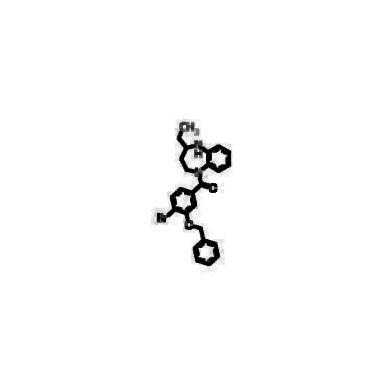 CCC1CCN(C(=O)c2ccc(Br)c(OCc3ccccc3)c2)c2ccccc2N1